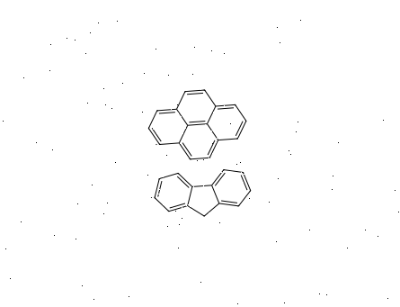 [c]1ccc2c(c1)Cc1ccccc1-2.[c]1ccc2ccc3cccc4ccc1c2c43